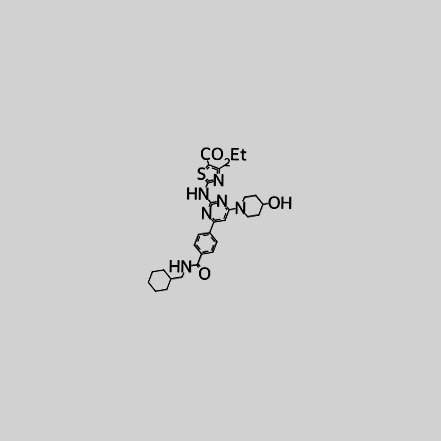 CCOC(=O)c1sc(Nc2nc(-c3ccc(C(=O)NCC4CCCCC4)cc3)cc(N3CCC(O)CC3)n2)nc1C